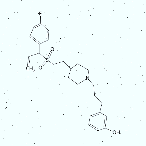 C=CC(c1ccc(F)cc1)S(=O)(=O)CCC1CCN(CCCc2cccc(O)c2)CC1